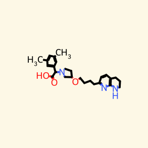 Cc1cc(C)cc(C(C(=O)O)N2CCC(OCCCCc3ccc4c(n3)NCCC4)C2)c1